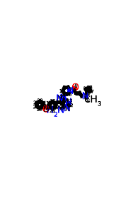 CN(C/C=C/C(=O)N1CCCC(n2nc(-c3ccc(Oc4ccccc4)cc3)c3c(N)ncnc32)C1)C1CCC1